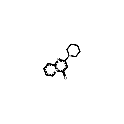 O=c1cc(N2CCCCC2)nc2ccccn12